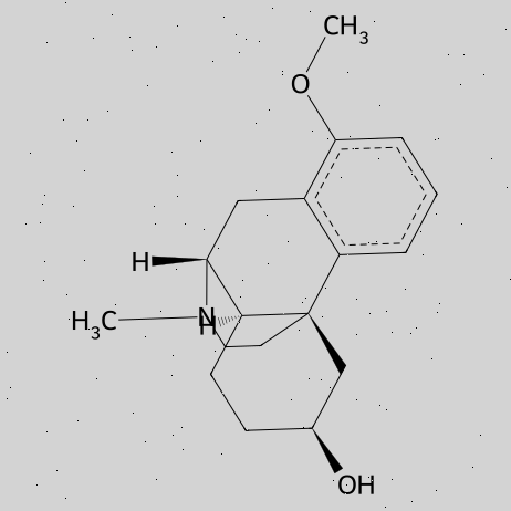 COc1cccc2c1C[C@@H]1[C@@H]3CC[C@H](O)C[C@]23CCN1C